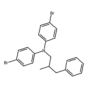 CC(Cc1ccccc1)CN(c1ccc(Br)cc1)c1ccc(Br)cc1